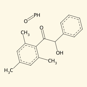 Cc1cc(C)c(C(=O)C(O)c2ccccc2)c(C)c1.O=P